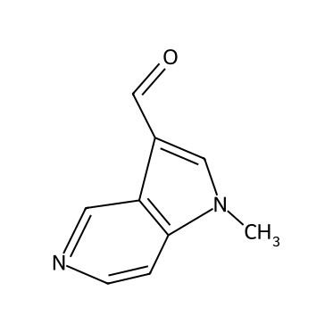 Cn1cc(C=O)c2cnccc21